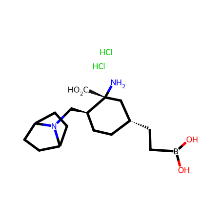 Cl.Cl.N[C@]1(C(=O)O)C[C@H](CCB(O)O)CC[C@H]1CN1C2CCC1CC2